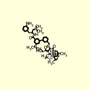 C[C@H](O)[C@@H]1[C@H](CO)ON(Cc2cccc(-c3cc(C(=O)N[C@@H](Cc4cccc(N)c4)CN(C)C)cc(N(C)C)c3)c2)[C@@H]1C(=O)NC[C@@H](C)[C@@H]1C[C@H](C)C1(C)C